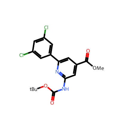 COC(=O)c1cc(NC(=O)OC(C)(C)C)nc(-c2cc(Cl)cc(Cl)c2)c1